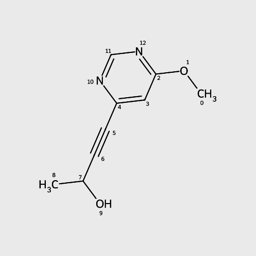 COc1cc(C#CC(C)O)ncn1